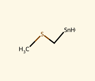 CS[CH2][SnH]